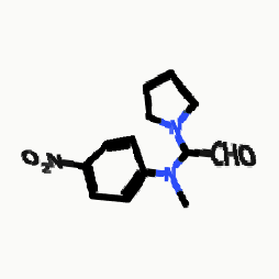 CN(c1ccc([N+](=O)[O-])cc1)C(C=O)N1CCCC1